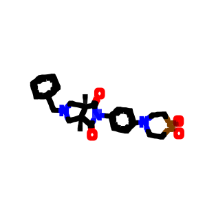 C[C@@]12CN(Cc3ccccc3)C[C@]1(C)C(=O)N(c1ccc(N3CCS(=O)(=O)CC3)cc1)C2=O